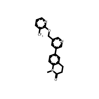 CN1C(=O)CCc2cc(-c3cncc(COc4ncccc4C(F)(F)F)c3)ccc21